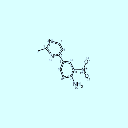 Cc1nccc(-c2ccc(N)c([N+](=O)[O-])c2)n1